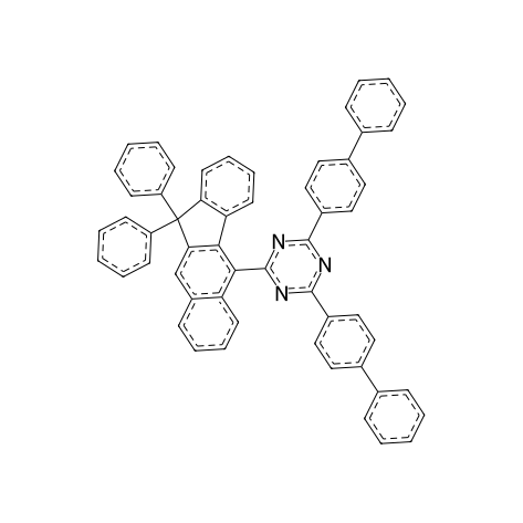 c1ccc(-c2ccc(-c3nc(-c4ccc(-c5ccccc5)cc4)nc(-c4c5c(cc6ccccc46)C(c4ccccc4)(c4ccccc4)c4ccccc4-5)n3)cc2)cc1